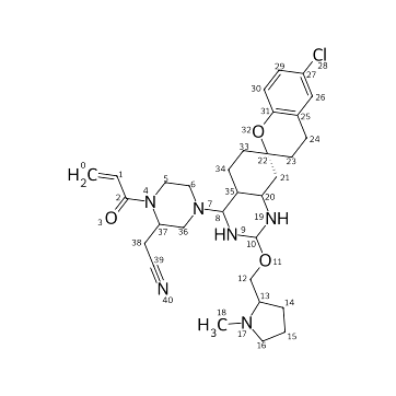 C=CC(=O)N1CCN(C2NC(OCC3CCCN3C)NC3C[C@]4(CCc5cc(Cl)ccc5O4)CCC32)CC1CC#N